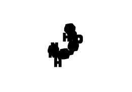 O=C(NCc1ccccc1)c1ccc(Cc2ccc(Nc3cnccn3)cc2)cc1